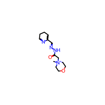 C[N+]1(CC(=O)N/N=C/C2=CCCC=N2)CCOCC1